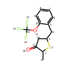 CC1SC(Cc2ccccc2OC(F)(F)F)CC1=O